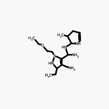 CCOCCN1NC(CC)C(N)=C1C(N)NC1NC=CCC1C